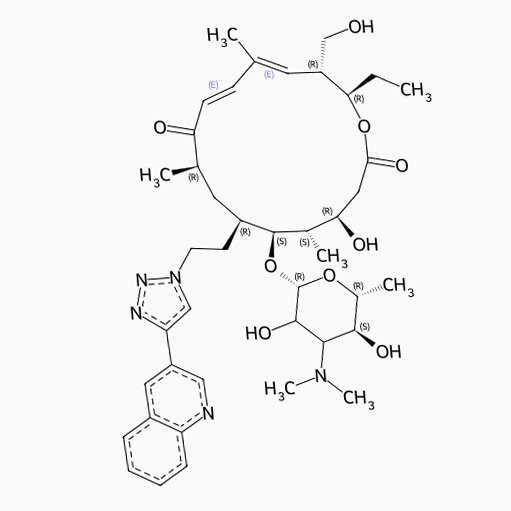 CC[C@H]1OC(=O)C[C@@H](O)[C@H](C)[C@@H](O[C@@H]2O[C@H](C)[C@@H](O)C(N(C)C)C2O)[C@@H](CCn2cc(-c3cnc4ccccc4c3)nn2)C[C@@H](C)C(=O)/C=C/C(C)=C/[C@@H]1CO